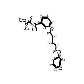 CCN(CC)C(=S)Nc1cccc(OCCCCCOc2ccccc2)c1